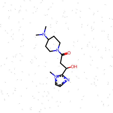 CN(C)C1CCN(C(=O)CC(O)c2nccn2C)CC1